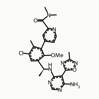 COc1c([C@H](C)Nc2ncnc(N)c2-c2nc(C)no2)cc(Cl)c(C)c1-c1ccnc(C(=O)N(C)C)c1